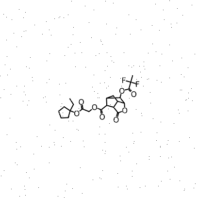 CCC1(OC(=O)COC(=O)C2C3CC4C(OC(=O)C42)C3OC(=O)C(C)(F)F)CCCC1